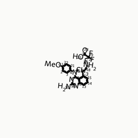 COc1ccc(N(C)c2nc(N)nc3cccc(CCN)c23)cc1.O=C(O)C(F)(F)F